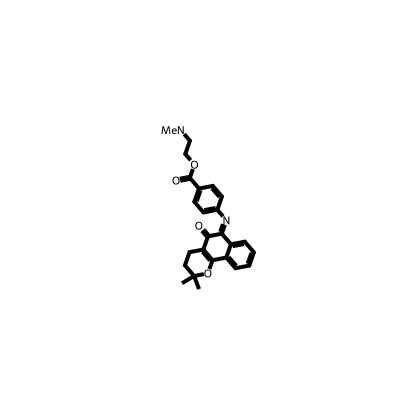 CNCCOC(=O)c1ccc(/N=C2\C(=O)C3=C(OC(C)(C)CC3)c3ccccc32)cc1